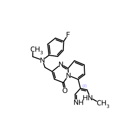 CCN(Cc1cc(=O)n2c(/C(C=N)=C/NC)cccc2n1)c1ccc(F)cc1